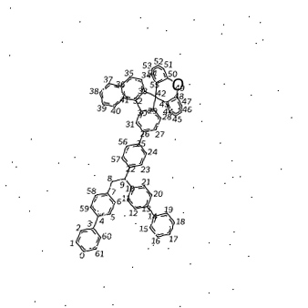 c1ccc(-c2ccc(CC(c3ccc(-c4ccccc4)cc3)c3ccc(-c4ccc5c(c4)-c4c(ccc6ccccc46)C54c5ccccc5Oc5ccccc54)cc3)cc2)cc1